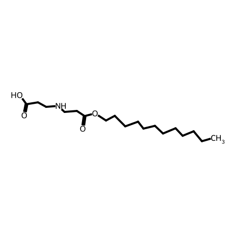 CCCCCCCCCCCCOC(=O)CCNCCC(=O)O